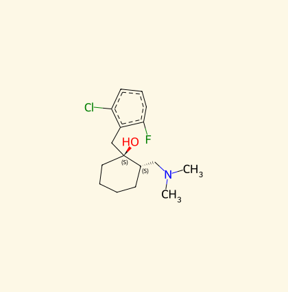 CN(C)C[C@@H]1CCCC[C@]1(O)Cc1c(F)cccc1Cl